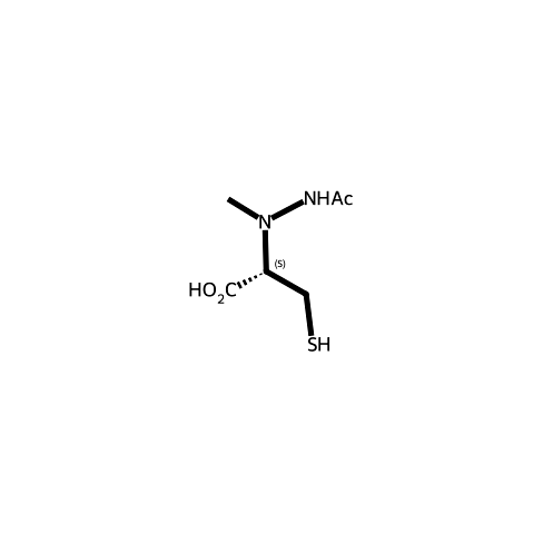 CC(=O)NN(C)[C@H](CS)C(=O)O